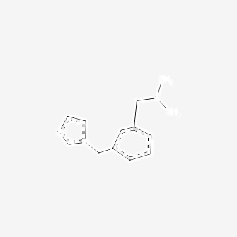 CN(C)Cc1cccc(Cn2[c]ncc2)c1